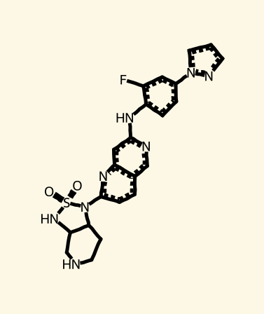 O=S1(=O)NC2CNCCC2N1c1ccc2cnc(Nc3ccc(-n4cccn4)cc3F)cc2n1